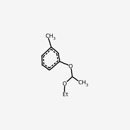 CCOC(C)Oc1cccc(C)c1